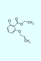 C=CCOc1cccc(Cl)c1C(=O)OCC